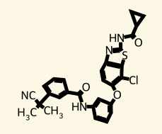 CC(C)(C#N)c1cccc(C(=O)Nc2cccc(Oc3ccc4nc(NC(=O)C5CC5)sc4c3Cl)c2)c1